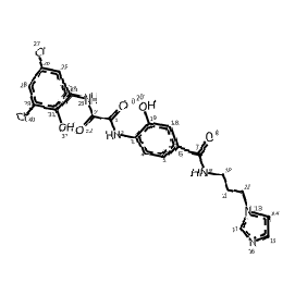 O=C(Nc1ccc(C(=O)NCCCn2ccnc2)cc1O)C(=O)Nc1cc(Cl)cc(Cl)c1O